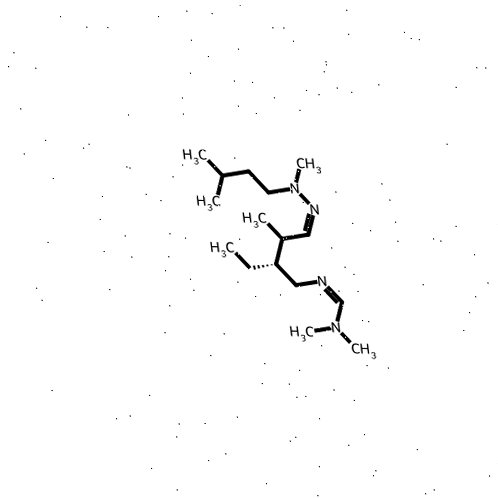 CC[C@@H](C/N=C\N(C)C)C(C)/C=N\N(C)CCC(C)C